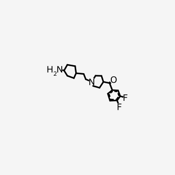 NC1CCC(CCN2CCC(C(=O)c3ccc(F)c(F)c3)CC2)CC1